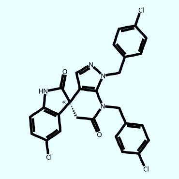 O=C1C[C@]2(C(=O)Nc3ccc(Cl)cc32)c2cnn(Cc3ccc(Cl)cc3)c2N1Cc1ccc(Cl)cc1